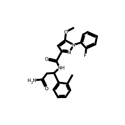 COc1cc(C(=O)NC(CC(N)=O)c2ccccc2C)nn1-c1ccccc1F